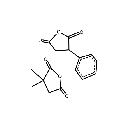 CC1(C)CC(=O)OC1=O.O=C1CC(c2ccccc2)C(=O)O1